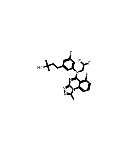 Cc1nnc2nc(N(CC(F)F)c3cc(F)cc(CCC(C)(C)O)c3)c3c(F)cccc3n12